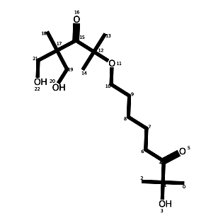 CC(C)(O)C(=O)CCCCCOC(C)(C)C(=O)C(C)(CO)CO